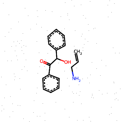 C=CCN.O=C(c1ccccc1)C(O)c1ccccc1